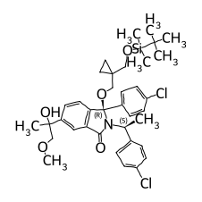 COCC(C)(O)c1ccc2c(c1)C(=O)N([C@@H](C)c1ccc(Cl)cc1)[C@@]2(OCC1(CO[Si](C)(C)C(C)(C)C)CC1)c1ccc(Cl)cc1